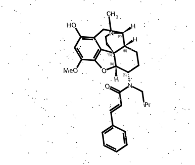 COc1cc(O)c2c3c1O[C@H]1[C@@H](N(CC(C)C)C(=O)C=Cc4ccccc4)CC[C@H]4[C@@H](C2)N(C)CC[C@@]341